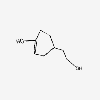 OCCC1CC=C(O)CC1